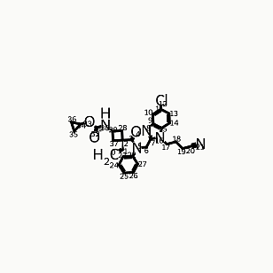 C=C[C@]1(C(=O)N(Cc2nc3cc(Cl)ccc3n2CCCC#N)c2ccccc2)C[C@H](NC(=O)OC2CC2)C1